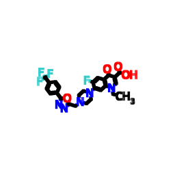 CCn1cc(C(=O)O)c(=O)c2cc(F)c(N3CCN(Cc4nnc(-c5ccc(C(F)(F)F)cc5)o4)CC3)cc21